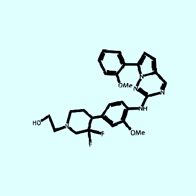 COc1cc(C2CCN(CCO)CC2(F)F)ccc1Nc1ncc2ccc(-c3ccccc3OC)n2n1